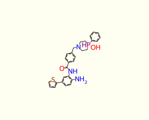 Nc1ccc(-c2cccs2)cc1NC(=O)c1ccc(CN2CC[PH](O)(c3ccccc3)CC2)cc1